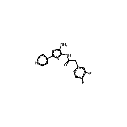 Nc1cc(-c2ccncc2)sc1NC(=O)Cc1ccc(F)c(F)c1